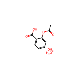 CC(=O)Oc1ccccc1C(=O)O.O.O